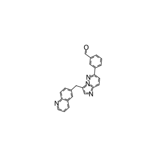 O=Cc1cccc(-c2ccc3ncc(Cc4ccc5ncccc5c4)n3n2)c1